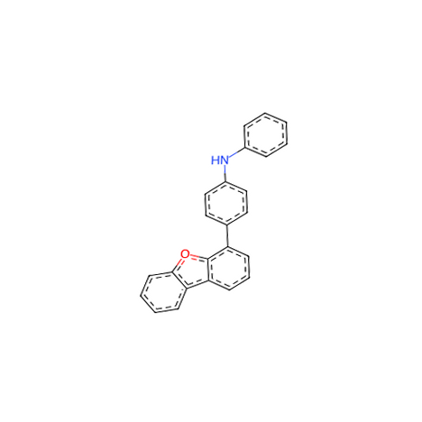 c1ccc(Nc2ccc(-c3cccc4c3oc3ccccc34)cc2)cc1